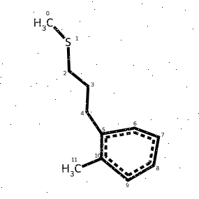 CSCCCc1ccccc1C